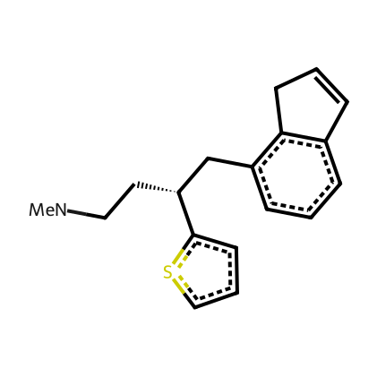 CNCC[C@H](Cc1cccc2c1CC=C2)c1cccs1